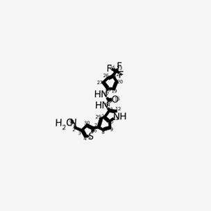 C=NCc1csc(-c2ccc3[nH]cc(NC(=O)Nc4ccc(C(F)(F)F)cc4)c3c2)c1